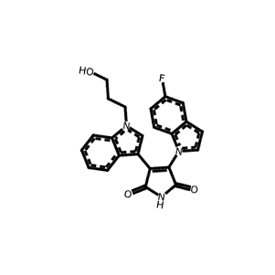 O=C1NC(=O)C(n2ccc3cc(F)ccc32)=C1c1cn(CCCO)c2ccccc12